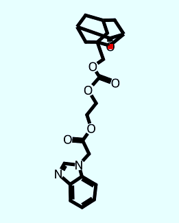 O=C(Cn1cnc2ccccc21)OCCOC(=O)OCC12CC3CC(C1)C(=O)C(C3)C2